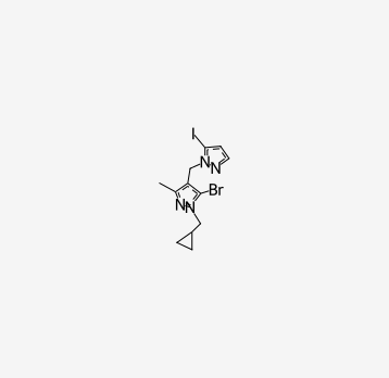 Cc1nn(CC2CC2)c(Br)c1Cn1nccc1I